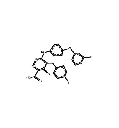 O=C(O)c1nnc(Nc2ccc(Oc3ccnc(F)c3)cc2)n(Cc2ccc(Cl)cc2)c1=O